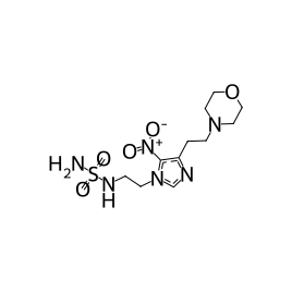 NS(=O)(=O)NCCn1cnc(CCN2CCOCC2)c1[N+](=O)[O-]